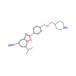 CC(C)c1cc(C#N)cc2nc(-c3ccc(COCC4CCNCC4)cc3)oc12